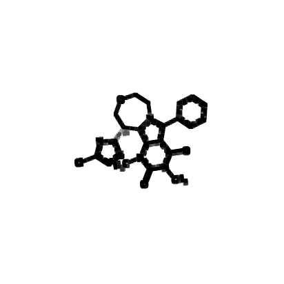 Cn1c(=O)c2c(-c3ccccc3)n3c(c2n(C)c1=O)[C@H](c1nc(Cl)cs1)COCC3